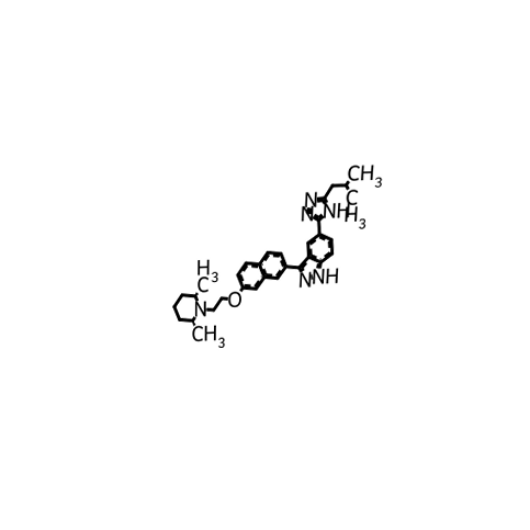 CC(C)Cc1nnc(-c2ccc3[nH]nc(-c4ccc5ccc(OCCN6[C@H](C)CCC[C@@H]6C)cc5c4)c3c2)[nH]1